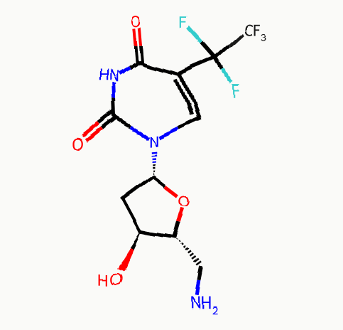 NC[C@H]1O[C@@H](n2cc(C(F)(F)C(F)(F)F)c(=O)[nH]c2=O)C[C@@H]1O